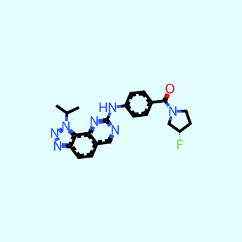 CC(C)n1nnc2ccc3cnc(Nc4ccc(C(=O)N5CC[C@H](F)C5)cc4)nc3c21